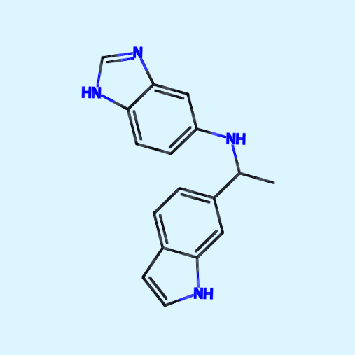 CC(Nc1ccc2[nH]cnc2c1)c1ccc2cc[nH]c2c1